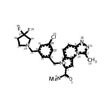 CNC(=O)c1cc2c(ccc3nnc(C)n32)n1Cc1cc(Cl)cc(CN2CCC(F)(F)C2)c1